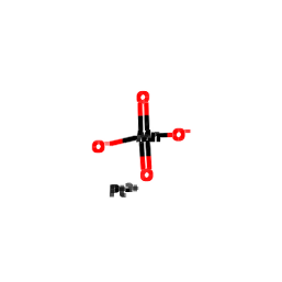 [O]=[Mn](=[O])([O-])[O-].[Pt+2]